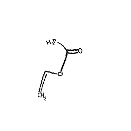 C=COC(=O)P